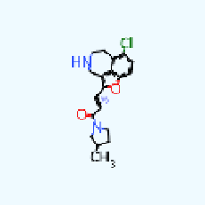 CC1CCN(C(=O)/C=C/c2oc3ccc(Cl)c4c3c2CNCC4)C1